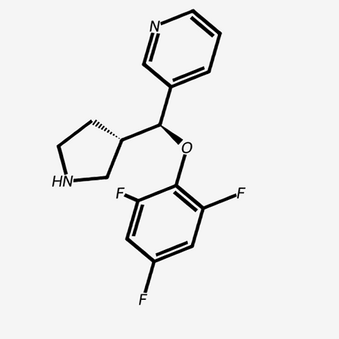 Fc1cc(F)c(O[C@H](c2cccnc2)[C@H]2CCNC2)c(F)c1